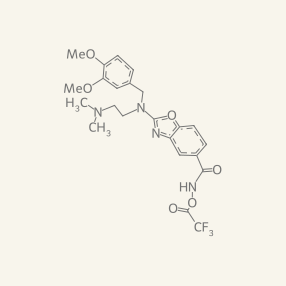 COc1ccc(CN(CCN(C)C)c2nc3cc(C(=O)NOC(=O)C(F)(F)F)ccc3o2)cc1OC